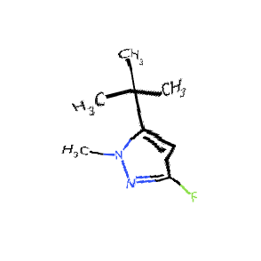 Cn1nc(F)cc1C(C)(C)C